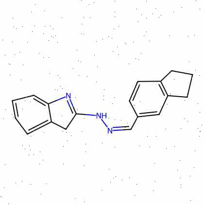 C(=N/NC1=Nc2ccccc2C1)/c1ccc2c(c1)CCC2